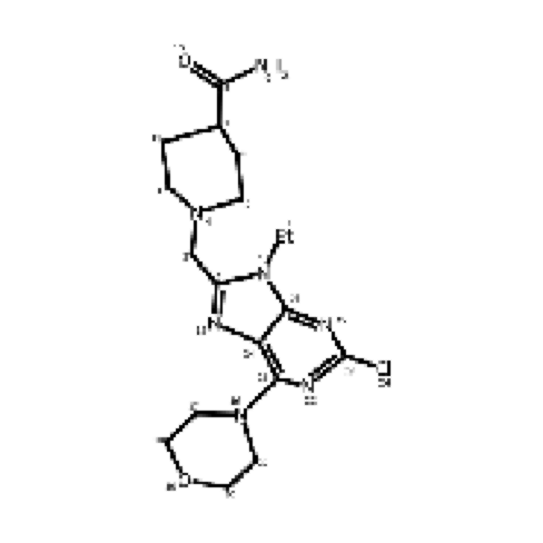 CCn1c(CN2CCC(C(N)=O)CC2)nc2c(N3CCOCC3)nc(Cl)nc21